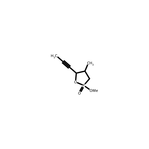 CC#CC1OP(=O)(OC)CC1C